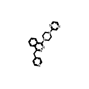 c1ccc2c(N3CCN(c4cnccn4)CC3)nnc(Cc3ccncc3)c2c1